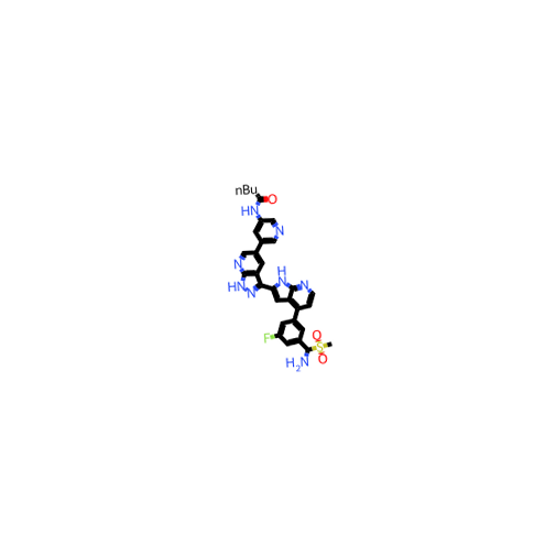 CCCCC(=O)Nc1cncc(-c2cnc3[nH]nc(-c4cc5c(-c6cc(F)cc(C(N)S(C)(=O)=O)c6)ccnc5[nH]4)c3c2)c1